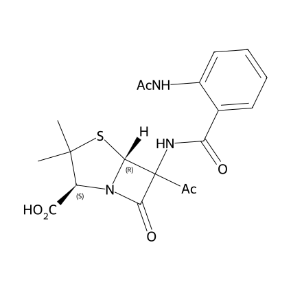 CC(=O)Nc1ccccc1C(=O)NC1(C(C)=O)C(=O)N2[C@@H](C(=O)O)C(C)(C)S[C@@H]21